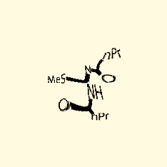 CCCC(=O)N=C(NC(=O)CCC)SC